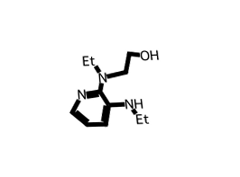 CCNc1cccnc1N(CC)CCO